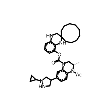 CC(=O)N1c2ccc(C3CNN(C4CC4)C3)cc2N(C(=O)Oc2cccc3c2NC2(CCCCCCCCC2)CN3)C[C@@H]1C